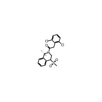 C[C@H]1c2ccccc2C(S(C)(=O)=O)CN1C(=O)Cc1c(Cl)cccc1Cl